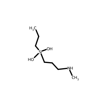 CCC[Si](O)(O)CCCNC